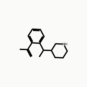 C=C(C)c1ccccc1C(C)C1CCCNC1